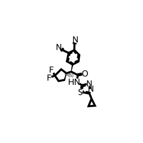 N#Cc1ccc([C@@H](C(=O)Nc2nnc(C3CC3)s2)[C@H]2CCC(F)(F)C2)cc1C#N